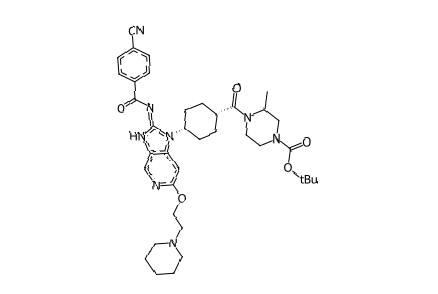 CC1CN(C(=O)OC(C)(C)C)CCN1C(=O)[C@H]1CC[C@@H](n2/c(=N/C(=O)c3ccc(C#N)cc3)[nH]c3cnc(OCCN4CCCCC4)cc32)CC1